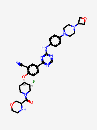 N#Cc1cc(-c2ncnc(Nc3ccc(N4CCN(C5COC5)CC4)cc3)n2)ccc1O[C@H]1CCN(C(=O)C2COCCN2)C[C@H]1F